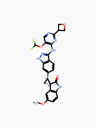 COc1ccc2c(c1)[C@]1(C[C@H]1c1ccc3c(Nc4nc(C5COC5)ncc4OC(F)F)n[nH]c3c1)C(=O)N2